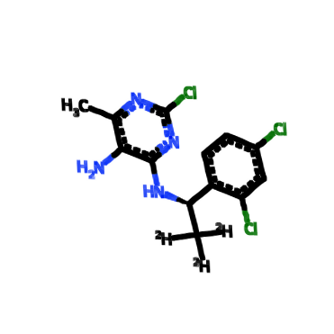 [2H]C([2H])([2H])[C@@H](Nc1nc(Cl)nc(C)c1N)c1ccc(Cl)cc1Cl